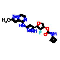 Cc1cc2c(Nc3cc([C@H]4OC[C@@H](OC(=O)NC56CC(C5)C6)[C@H]4F)[nH]n3)nccn2n1